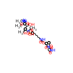 COc1cc(C(CC(=O)O)c2ccc(C)c(CN3C[C@@H](C)Oc4cc(CCCCCCNC(=O)COc5cc6c7c(cccc7c5)C(=O)N(C5CCC(=O)NC5=O)C6=O)ccc4S3(O)O)c2)cc2nnn(C)c12